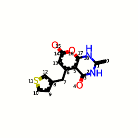 C=C1NC(=O)c2c(Cc3ccsc3)cc(=O)oc2N1